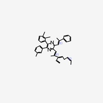 C=CC(=CC/C=C\C)/C(C)=C/c1nc(-c2cccc(C)c2)c(-c2cccc(C)c2C)nc1/C=C(\C)c1ccccc1